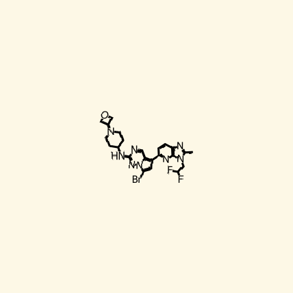 Cc1nc2ccc(-c3cc(Br)n4nc(NC5CCN(C6COC6)CC5)ncc34)nc2n1CC(F)F